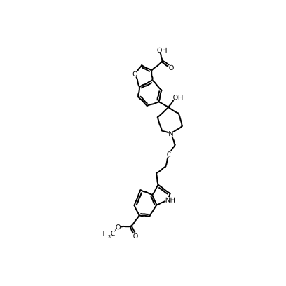 COC(=O)c1ccc2c(CCCCN3CCC(O)(c4ccc5occ(C(=O)O)c5c4)CC3)c[nH]c2c1